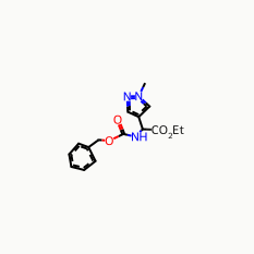 CCOC(=O)C(NC(=O)OCc1ccccc1)c1cnn(C)c1